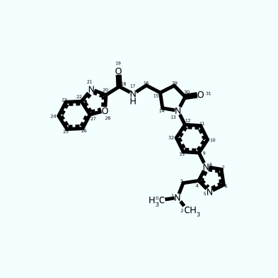 CN(C)Cc1nccn1-c1ccc(N2CC(CNC(=O)c3nc4ccccc4o3)CC2=O)cc1